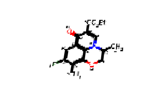 CCOC(=O)c1cn2c3c(c(C)c(F)cc3c1=O)OCC2C